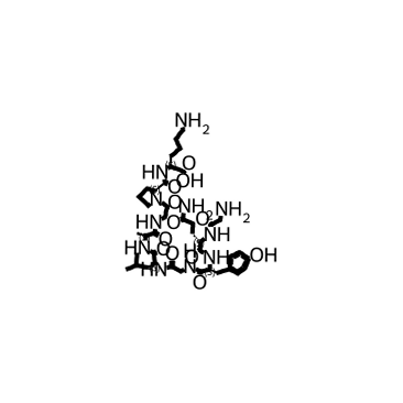 CC(C)C[C@H](NC(=O)CNC(=O)[C@H](Cc1ccc(O)cc1)NC(=O)[C@H](CCC(N)=O)NC(=O)CN)C(=O)N[C@@H](C)C(=O)NCC(=O)N1CCC[C@H]1C(=O)N[C@@H](CCCCN)C(=O)O